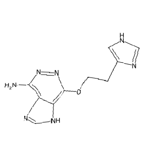 Nc1nnc(OCCc2c[nH]cn2)c2[nH]cnc12